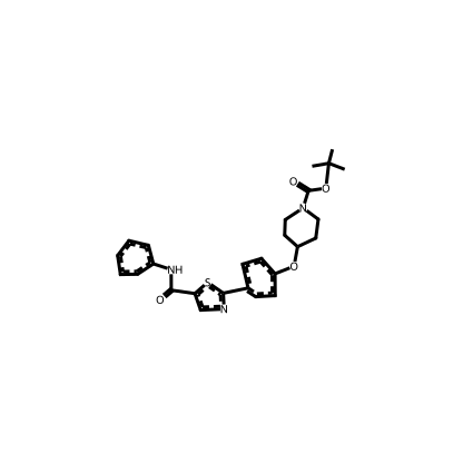 CC(C)(C)OC(=O)N1CCC(Oc2ccc(-c3ncc(C(=O)Nc4ccccc4)s3)cc2)CC1